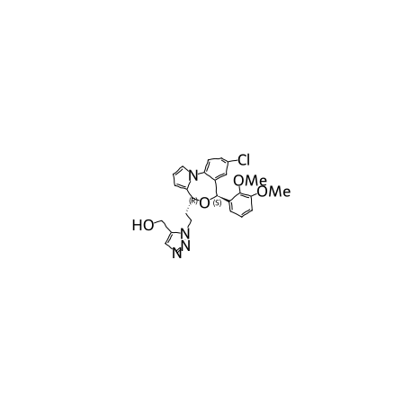 COc1cccc([C@H]2O[C@H](CCn3nncc3CO)c3cccn3-c3ccc(Cl)cc32)c1OC